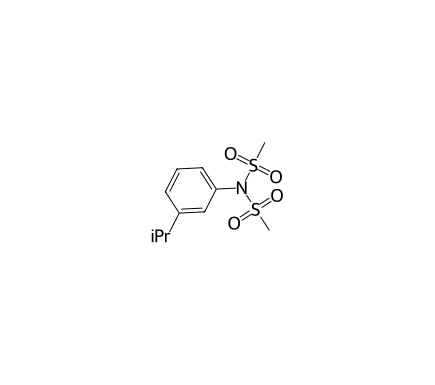 CC(C)c1cccc(N(S(C)(=O)=O)S(C)(=O)=O)c1